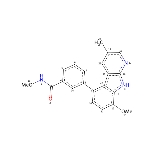 CONC(=O)c1cccc(-c2ccc(OC)c3[nH]c4ncc(C)cc4c23)c1